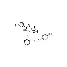 C[C@H](O)[C@@H](CCc1ccccc1OCCCc1ccc(Cl)cc1)NC(=O)c1c[nH]cn1